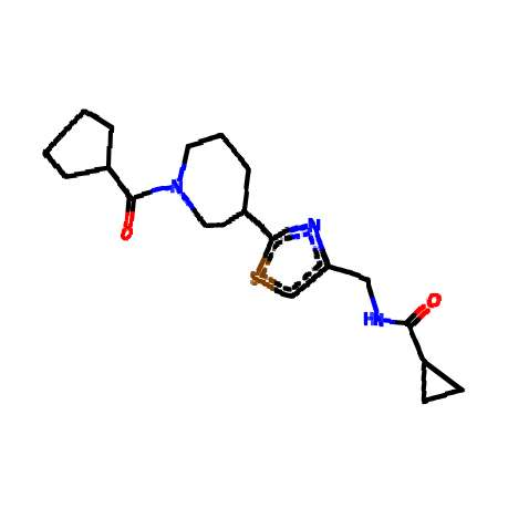 O=C(NCc1csc(C2CCCN(C(=O)C3CCCC3)C2)n1)C1CC1